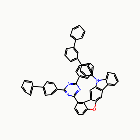 c1ccc(-c2ccc(-c3nc(-c4ccccc4)nc(-c4cccc5oc6cc7c8ccccc8n(-c8ccc(-c9cccc(-c%10ccccc%10)c9)cc8)c7cc6c45)n3)cc2)cc1